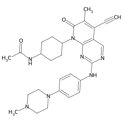 C#Cc1c(C)c(=O)n(C2CCC(NC(C)=O)CC2)c2nc(Nc3ccc(N4CCN(C)CC4)cc3)ncc12